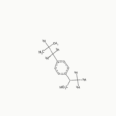 [2H]C([2H])([2H])C(C(=O)O)c1ccc(C([2H])([2H])C([2H])(C)C)cc1